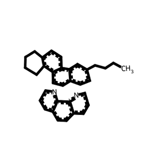 CCCCc1ccc2ccc3c4c(ccc3c2c1)CCCC4.c1cnc2c(c1)ccc1cccnc12